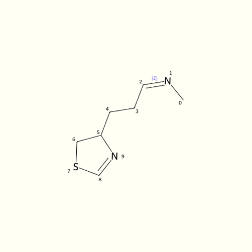 C/N=C\CCC1CSC=N1